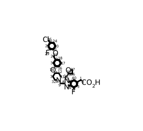 O=C(O)Cc1cc(F)c2nc(CN3CCC(Oc4cccc(COc5ccc(Cl)cc5F)c4)CC3)n(C[C@@H]3CCO3)c2c1